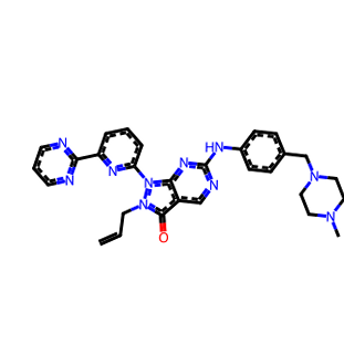 C=CCn1c(=O)c2cnc(Nc3ccc(CN4CCN(C)CC4)cc3)nc2n1-c1cccc(-c2ncccn2)n1